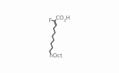 CCCCCCCCCCCCCCCC=C(F)C(=O)O